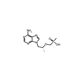 C[C@H](Cn1cnc2c(N)ncnc21)OCP(C)(=O)O